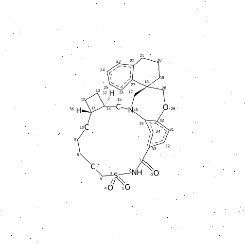 O=C1NS(=O)(=O)CCCCC[C@@H]2CC[C@H]2CN2C[C@@]3(CCCc4ccccc43)COc3ccc1cc32